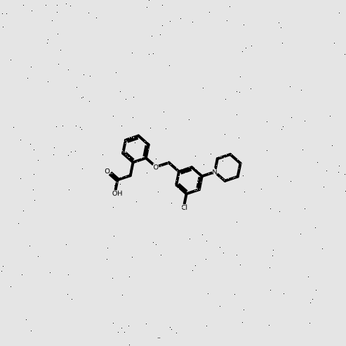 O=C(O)Cc1ccccc1OCc1cc(Cl)cc(N2CCCCC2)c1